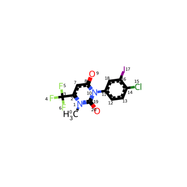 Cn1c(C(F)(F)F)cc(=O)n(-c2ccc(Cl)c(I)c2)c1=O